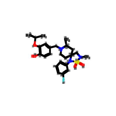 CC(C)Oc1cc(CN2CC[C@@]3(C[C@@H]2C)CN(C)S(=O)(=O)N3c2cccc(F)c2)ccc1O